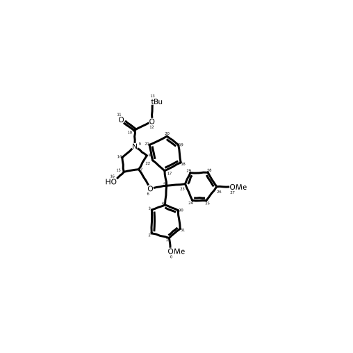 COc1ccc(C(OC2CN(C(=O)OC(C)(C)C)CC2O)(c2ccccc2)c2ccc(OC)cc2)cc1